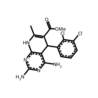 COC(=O)C1=C(C)Nc2nc(N)nc(N)c2C1c1cccc(Cl)c1Cl